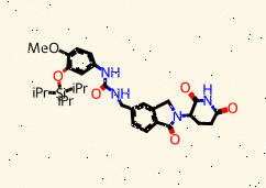 COc1ccc(NC(=O)NCc2ccc3c(c2)CN(C2CCC(=O)NC2=O)C3=O)cc1O[Si](C(C)C)(C(C)C)C(C)C